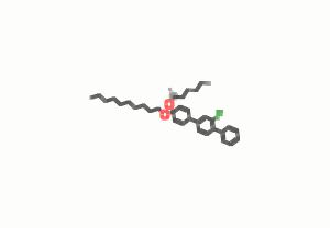 CCCCCCCCCCOC1(O[C@H](C)CCCCC)C=CC(c2ccc(-c3ccccc3)c(F)c2)C=C1